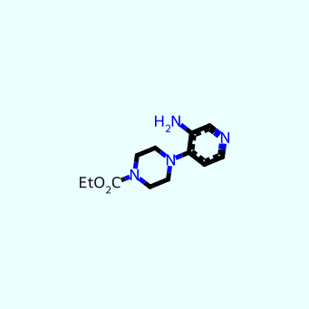 CCOC(=O)N1CCN(c2ccncc2N)CC1